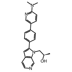 C[C@@H](O)Cn1c(-c2ccc(-c3ccc(N(C)C)nc3)cc2)cc2ccncc21